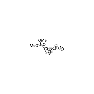 COCCN(CCOC)C(=O)Cc1ccc2c(c1)sc1ncnc(Nc3ccc(OCc4ccccn4)c(Cl)c3)c12